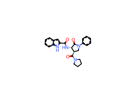 O=C(N[C@@H]1C(=O)N(c2ccccc2)C[C@H]1C(=O)N1CCCC1)c1cc2ccccc2[nH]1